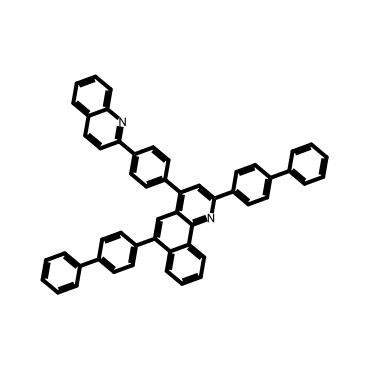 c1ccc(-c2ccc(-c3cc(-c4ccc(-c5ccc6ccccc6n5)cc4)c4cc(-c5ccc(-c6ccccc6)cc5)c5ccccc5c4n3)cc2)cc1